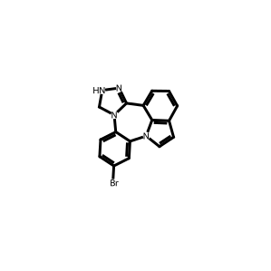 Brc1ccc2c(c1)n1ccc3cccc(c4n2CNN=4)c31